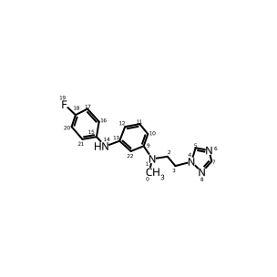 CN(CCn1cncn1)c1cccc(Nc2ccc(F)cc2)c1